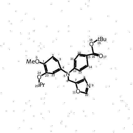 COc1ccc(N(Cc2cnco2)c2ccc(C(=O)OC(C)(C)C)cc2)cc1OC(C)C